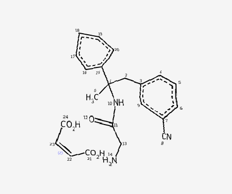 CC(Cc1cccc(C#N)c1)(NC(=O)CN)c1ccccc1.O=C(O)/C=C\C(=O)O